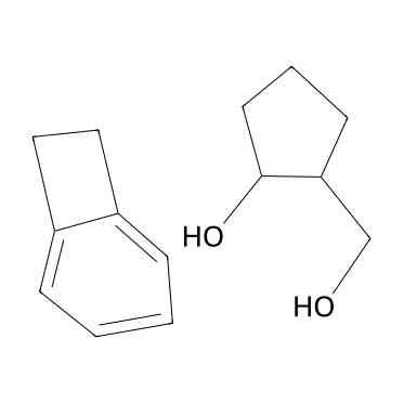 OCC1CCCC1O.c1ccc2c(c1)CC2